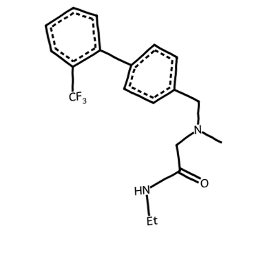 CCNC(=O)CN(C)Cc1ccc(-c2ccccc2C(F)(F)F)cc1